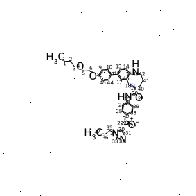 CCCCOCCOc1ccc(-c2ccc3c(c2)/C=C(/C(=O)Nc2ccc([S+]([O-])Cc4cncn4CCC)cc2)CCCN3)cc1